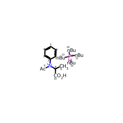 CC(=O)N(c1ccccc1)C(C)C(=O)O.CCCC[PH](CCCC)(CCCC)CCCC